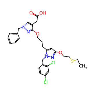 CCSCCOc1cc(CCCOc2nn(Cc3ccccc3)cc2CC(=O)O)n(Cc2ccc(Cl)cc2Cl)n1